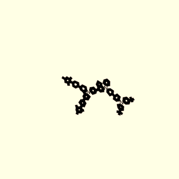 CC1=CC(C)=C(C2CCC(C3=Cc4c(n(-c5ccc(-c6ccc(N(C7=CCC(C8C=CC(N(c9ccc(C(C)(C)C)cc9)c9ccc(C(C)(C)C)cc9)=CC8)CC7)c7ccccc7)c7c6=CCC=7)cc5)c5ccc(-c6ccc(-c7c(C)cc(C)cc7C)cc6)cc45)CC3)CC2)C(C)C1